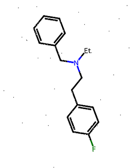 CCN(CCc1ccc(F)cc1)Cc1ccccc1